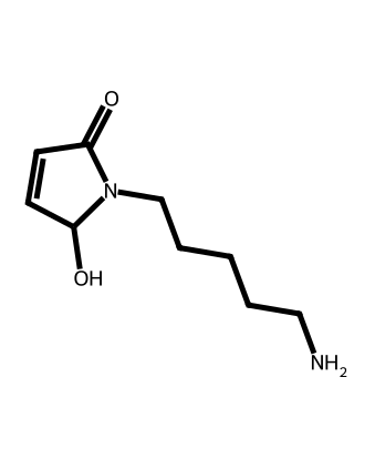 NCCCCCN1C(=O)C=CC1O